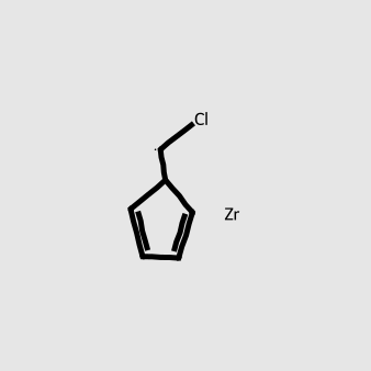 Cl[CH]C1C=CC=C1.[Zr]